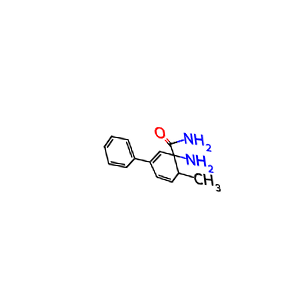 CC1C=CC(c2ccccc2)=CC1(N)C(N)=O